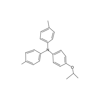 Cc1ccc(N(c2ccc(C)cc2)c2ccc(OC(C)C)cc2)cc1